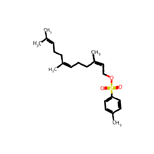 CC(C)=CCCC(C)=CCCC(C)=CCOS(=O)(=O)c1ccc(C)cc1